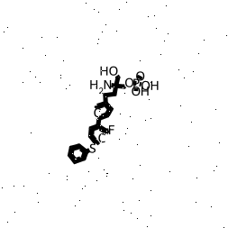 NC(CO)(CCc1ccc(-c2ccc(Sc3ccccc3)cc2F)cc1)COP(=O)(O)O